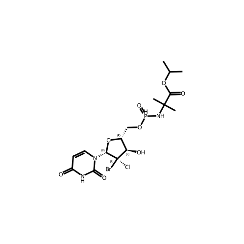 CC(C)OC(=O)C(C)(C)N[PH](=O)OC[C@H]1O[C@@H](n2ccc(=O)[nH]c2=O)[C@](Cl)(Br)[C@@H]1O